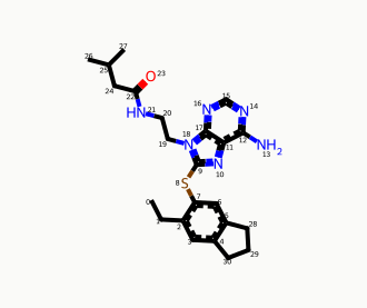 CCc1cc2c(cc1Sc1nc3c(N)ncnc3n1CCNC(=O)CC(C)C)CCC2